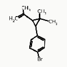 C=C(C)C1C(c2ccc(Br)cc2)C1(C)C